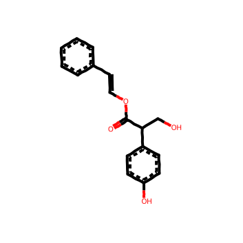 O=C(OC=Cc1ccccc1)C(CO)c1ccc(O)cc1